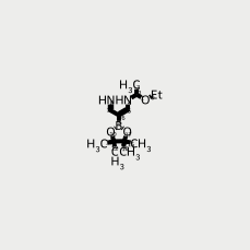 CCOC(C)N/C=C(\C=N)B1OC(C)(C)C(C)(C)O1